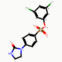 O=C1NCCN1c1ccc(S(=O)(=O)Oc2cc(F)cc(F)c2)cc1